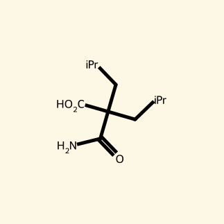 CC(C)CC(CC(C)C)(C(N)=O)C(=O)O